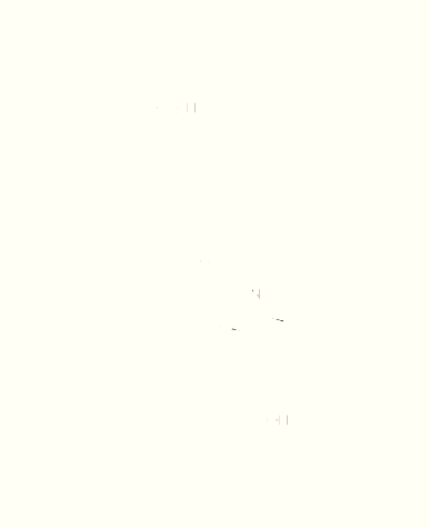 Cc1cc(C(=O)O)ccc1-c1cc(C)c(OCCN[C@@H](C)[C@H](O)c2ccc(O)cc2)c(C)c1